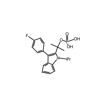 CC(C)n1c(C(C)(C)OP(=O)(O)O)c(-c2ccc(F)cc2)c2ccccc21